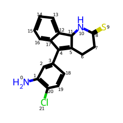 Nc1cc(C2=C3CCC(=S)NC3c3ccccc32)ccc1Cl